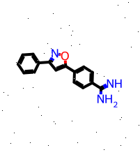 N=C(N)c1ccc(-c2cc(-c3ccccc3)no2)cc1